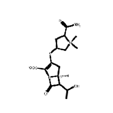 CC(O)C1C(=O)N2C(C(=O)[O-])=C(SC3CC(C(N)=O)[N+](C)(C)C3)C[C@@H]12